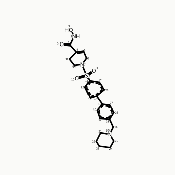 O=C(NO)C1=CCN(S(=O)(=O)c2ccc(-c3ccc(CN4CCCCC4)cc3)cc2)CC1